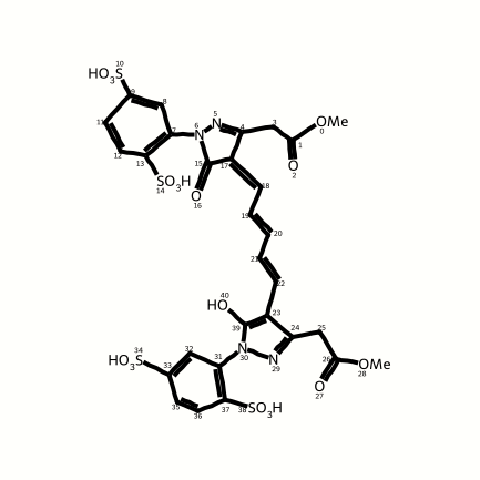 COC(=O)CC1=NN(c2cc(S(=O)(=O)O)ccc2S(=O)(=O)O)C(=O)C1=CC=CC=Cc1c(CC(=O)OC)nn(-c2cc(S(=O)(=O)O)ccc2S(=O)(=O)O)c1O